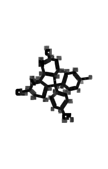 Cc1ccc(C2(c3ccc(C(F)(F)F)cc3)c3ccc(Cl)nc3-c3nc(Cl)ccc32)cc1